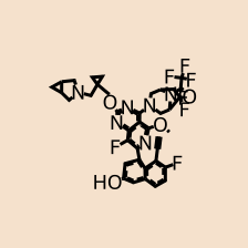 C#Cc1c(F)ccc2cc(O)cc(-c3nc(OC)c4c(N5CC6CC(F)(F)C(C5)N6C(=O)C(F)(F)F)nc(OCC5(CN6CC7CC7C6)CC5)nc4c3F)c12